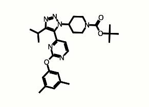 Cc1cc(C)cc(Oc2nccc(-c3c(C(C)C)nnn3C3CCN(C(=O)OC(C)(C)C)CC3)n2)c1